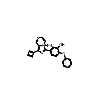 N[N+]12C=CN=CC1=C(C1=CC=C1)N=C2c1ccc(Oc2ccccc2)c(O)c1